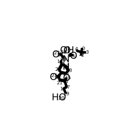 CC(C)(C)COC(=O)N[C@@H](Cc1ccc2oc(CCCO)cc(=O)c2c1)C(=O)O